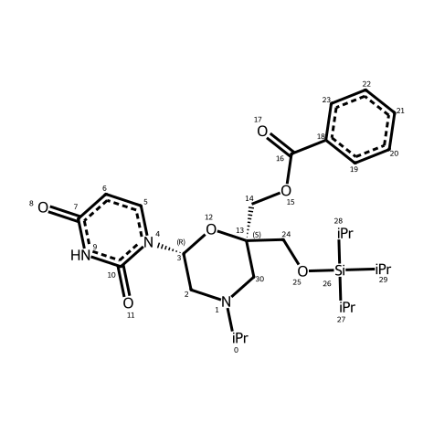 CC(C)N1C[C@H](n2ccc(=O)[nH]c2=O)O[C@@](COC(=O)c2ccccc2)(CO[Si](C(C)C)(C(C)C)C(C)C)C1